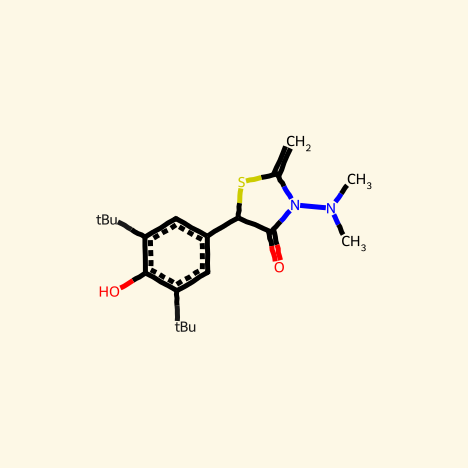 C=C1SC(c2cc(C(C)(C)C)c(O)c(C(C)(C)C)c2)C(=O)N1N(C)C